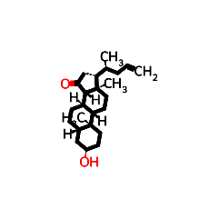 C=CC[C@@H](C)[C@H]1CC(=O)[C@H]2[C@@H]3CC[C@H]4C[C@@H](O)CC[C@]4(C)[C@H]3CC[C@]12C